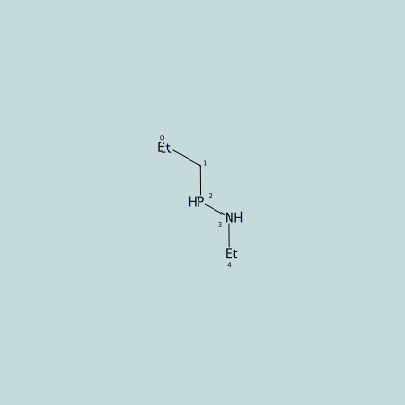 CCCPNCC